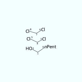 CCCCCCO.ClCCl.ClCCl